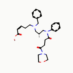 C[C@@H](CN(CC/C=C\C(=O)OC(C)(C)C)Cc1ccccc1)CN(C(=O)CCC(=O)N1CCOCC1)c1ccccc1